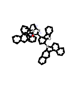 CC1C/C=C(n2c3ccccc3c3ccccc32)/N=C(c2ccc(-n3c4cc5ccccc5cc4c4c5ccccc5ccc43)c3oc4ccccc4c23)\N=C/1c1ccc2ccccc2c1